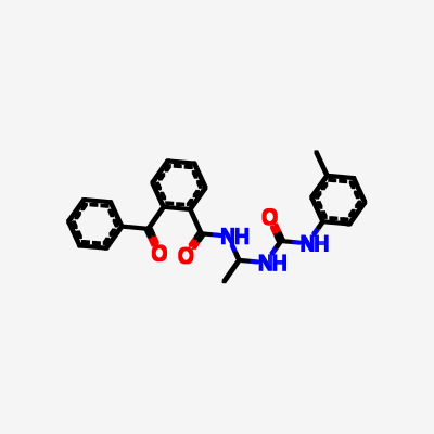 Cc1cccc(NC(=O)NC(C)NC(=O)c2ccccc2C(=O)c2ccccc2)c1